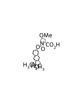 C=Cc1cc2cc(OC(=O)N3CC(OC)CC3C(=O)O)ccc2cc1N(C)C